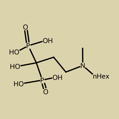 CCCCCCN(C)CCC(O)(P(=O)(O)O)P(=O)(O)O